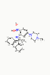 CN1CCN(c2ccc([N+](=O)[O-])c(NC(C)(c3ccccc3)c3ccccc3)c2)CC1